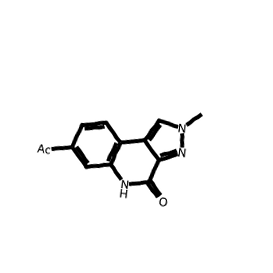 CC(=O)c1ccc2c(c1)[nH]c(=O)c1nn(C)cc12